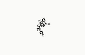 Cc1oc(-c2ccc(Cl)cc2)cc1C(=O)Nc1nc(N(C)C)n(-c2ccccc2)c1C(=O)OC(C)(C)C